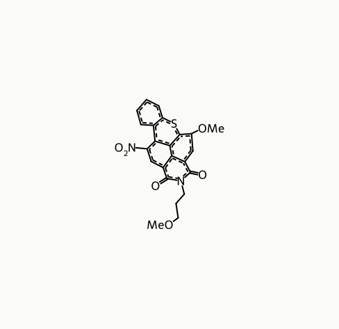 COCCCn1c(=O)c2cc(OC)c3sc4ccccc4c4c([N+](=O)[O-])cc(c1=O)c2c34